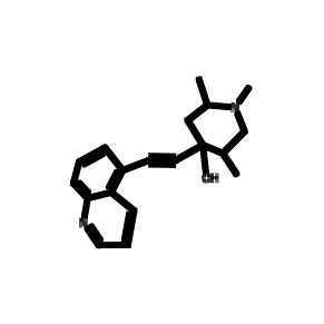 CC1CC(O)(C#Cc2cccc3ncccc23)C(C)CN1C